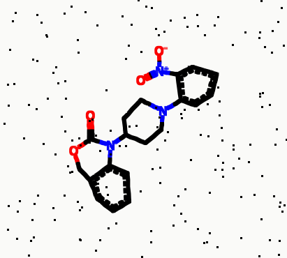 O=C1OCc2ccccc2N1C1CCN(c2ccc[c]c2[N+](=O)[O-])CC1